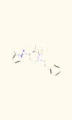 CCOC(=O)N(C1CCN(CCc2ccccc2)CC1)n1cccc1C.Cl